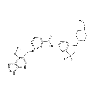 CCN1CCN(Cc2ccc(NC(=O)c3cccc(NCc4cnc5[nH]ccc5c4OC)c3)cc2C(F)(F)F)CC1